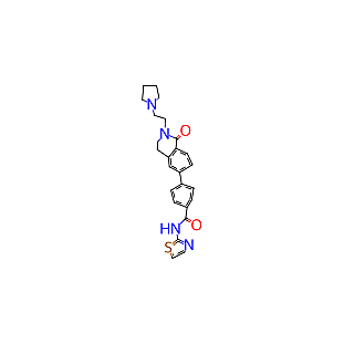 O=C(Nc1nccs1)c1ccc(-c2ccc3c(c2)CCN(CCN2CCCC2)C3=O)cc1